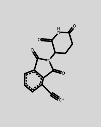 C#Cc1cccc2c1C(=O)N(C1CCC(=O)NC1=O)C2=O